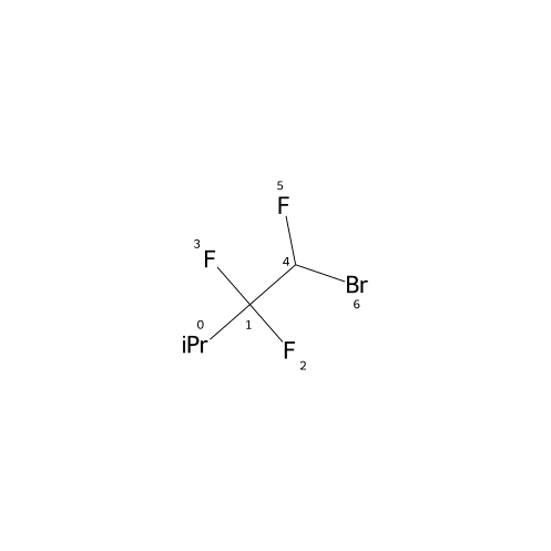 CC(C)C(F)(F)C(F)Br